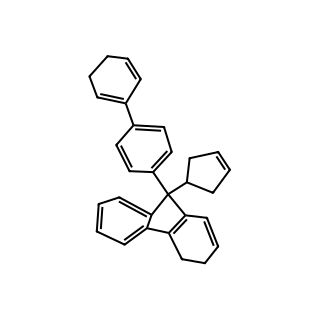 C1=CC(c2ccc(C3(C4CC=CC4)C4=C(CCC=C4)c4ccccc43)cc2)=CCC1